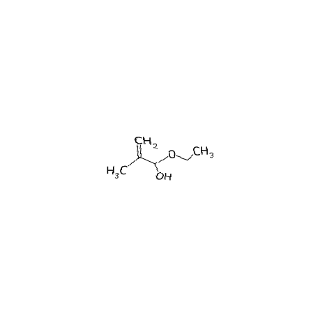 C=C(C)C(O)OCC